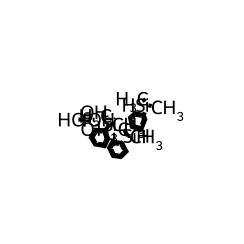 C[SiH](C)c1ccccc1.C[SiH](C)c1ccccc1.C[SiH](C)c1ccccc1.O=P(O)(O)O